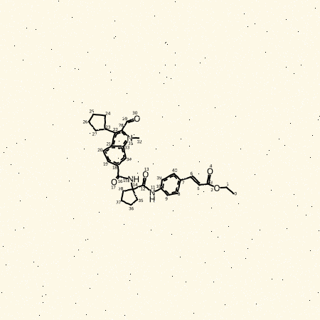 CCOC(=O)/C=C/c1ccc(NC(=O)C2(NC(=O)c3ccc4c(C5CCCC5)c(C=O)n(C)c4c3)CCCC2)cc1